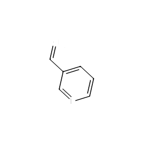 C=Cc1cccpc1